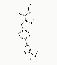 CCNC(=O)N(Cc1ccc(N2C=C(C(F)(F)F)OC2)cc1)OC